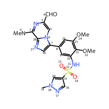 CNc1nc(C=O)cn2c(-c3cc(NS(=O)(=O)c4cnn(C)c4)c(OC)c(OC)c3)cnc12